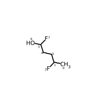 CC(F)CCC(O)F